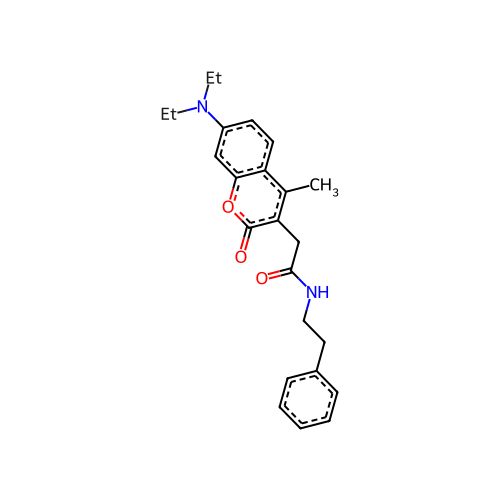 CCN(CC)c1ccc2c(C)c(CC(=O)NCCc3ccccc3)c(=O)oc2c1